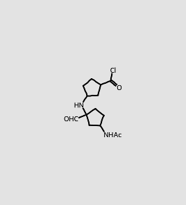 CC(=O)NC1CCC(C=O)(NC2CCC(C(=O)Cl)C2)C1